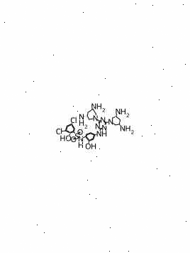 N[C@@H]1C[C@H](N)CN(c2nc(Nc3ccc(NS(=O)(=O)c4cc(Cl)cc(Cl)c4O)c(O)c3)nc(N3C[C@H](N)C[C@H](N)C3)n2)C1